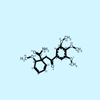 COc1cc(C(=O)CC2(C(N)=O)C=CC=CC2OC)cc(OC)c1OC